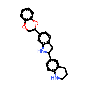 c1ccc2c(c1)OCC(c1ccc3c(c1)NC(c1ccc4c(c1)CCCN4)C3)O2